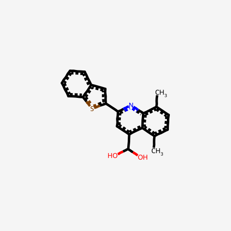 Cc1ccc(C)c2c(C(O)O)cc(-c3cc4ccccc4s3)nc12